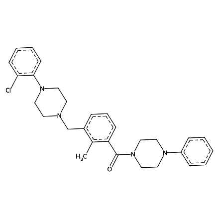 Cc1c(CN2CCN(c3ccccc3Cl)CC2)cccc1C(=O)N1CCN(c2ccccc2)CC1